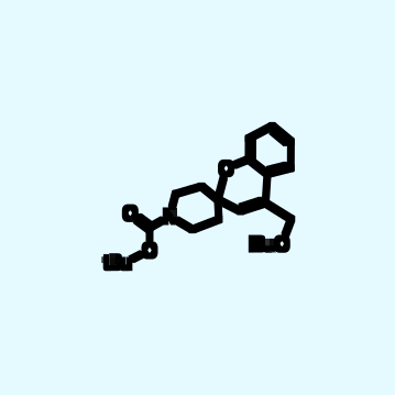 CC(C)COCC1=CC2(CCN(C(=O)OC(C)(C)C)CC2)Oc2ccccc21